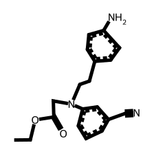 CCOC(=O)CN(CCc1ccc(N)cc1)c1cccc(C#N)c1